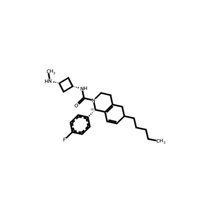 CCCCCC1C=CC2=C(CCN(C(=O)N[C@H]3C[C@@H](NC)C3)[C@H]2c2ccc(F)cc2)C1